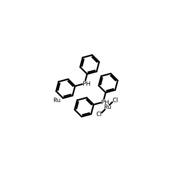 [Cl][Ru][Cl].[Ru].c1ccc(Pc2ccccc2)cc1.c1ccc(Pc2ccccc2)cc1